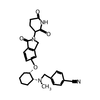 CN(Cc1ccc(C#N)cc1)[C@@H]1CCCC[C@@H]1Oc1ccc2c(c1)CN(C1CCC(=O)NC1=O)C2=O